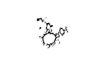 C#CCCN(C)[C@H]1C[C@@H](C)O[C@@H](O[C@@H]2[C@@H](C)C(=O)[C@@H](C)C(=O)O[C@H](CC)[C@@](C)(O)[C@H](O)[C@@H](C)/C(=N/O[C@H]3CC[C@@H](N(C)C)CC3)[C@H](C)C[C@@]2(C)OC)[C@@H]1O